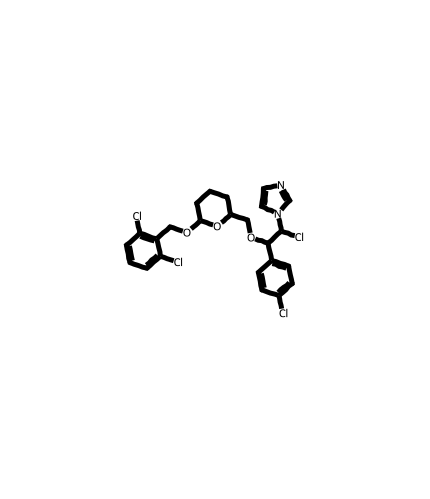 Clc1ccc(C(OCC2CCCC(OCc3c(Cl)cccc3Cl)O2)C(Cl)n2ccnc2)cc1